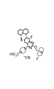 C#Cc1cccc2cccc(-c3ccc4c(N5CCN(C(=O)O)[C@@H](CC#N)C5)nc(OC[C@@]56CCCN5C[C@H](F)C6)nc4c3F)c12